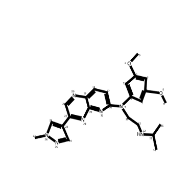 COc1cc(OC)cc(N(CCNC(C)C)c2ccc3ncc(-c4cnn(C)c4)nc3n2)c1